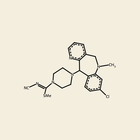 CS/C(=N\C#N)N1CCN(C2c3ccc(Cl)cc3N(C)Cc3cccnc32)CC1